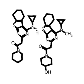 CN(c1nc(CC(=O)N2CCC(O)CC2)nc2sc3c(c12)CCCC3)C1CC1.CN(c1nc(CC(=O)N2CCCCC2)nc2sc3c(c12)CCCC3)C1CC1